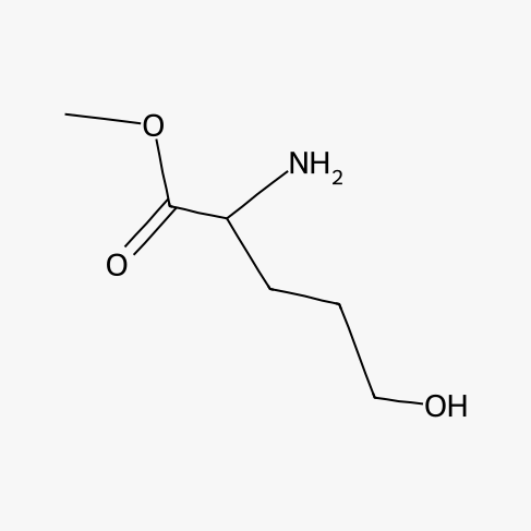 COC(=O)C(N)CCCO